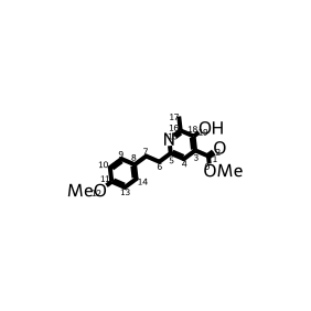 COC(=O)c1cc(CCc2ccc(OC)cc2)nc(C)c1O